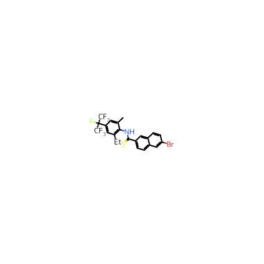 CCc1cc(C(F)(C(F)(F)F)C(F)(F)F)cc(C)c1NC(=S)c1ccc2cc(Br)ccc2c1